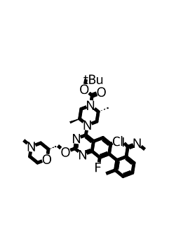 C/N=C(/I)c1cccc(C)c1-c1c(Cl)cc2c(N3C[C@@H](C)N(C(=O)OC(C)(C)C)C[C@@H]3C)nc(OC[C@H]3CN(C)CCO3)nc2c1F